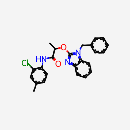 Cc1ccc(NC(=O)C(C)Oc2nc3ccccc3n2Cc2ccccc2)c(Cl)c1